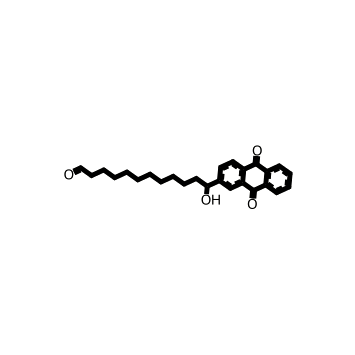 O=CCCCCCCCCCCC(O)c1ccc2c(c1)C(=O)c1ccccc1C2=O